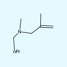 C=C(C)CN(C)CCCC